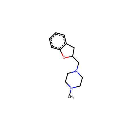 CN1CCN(CC2Cc3ccccc3O2)CC1